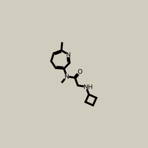 CC1=CCC=C(N(C)C(=O)CNC2CCC2)C=N1